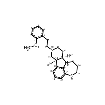 COc1ccccc1CCN1CC[C@@H]2[C@H](C1)c1cccc3c1N2CCCS3